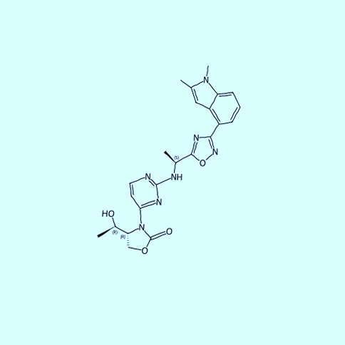 Cc1cc2c(-c3noc([C@H](C)Nc4nccc(N5C(=O)OC[C@@H]5[C@@H](C)O)n4)n3)cccc2n1C